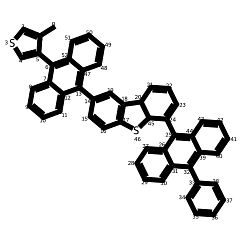 Cc1cscc1-c1c2ccccc2c(-c2ccc3c(c2)C2C=CC=C(c4c5ccccc5c(-c5ccccc5)c5ccccc45)C2S3)c2ccccc12